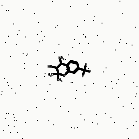 CC1(C)Oc2cc(C(F)(F)F)ccc2C(N)C1O